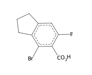 O=C(O)c1c(F)cc2c(c1Br)CCC2